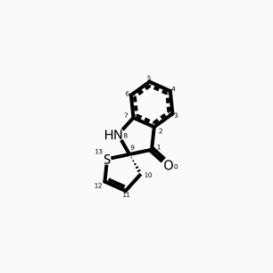 O=C1c2ccccc2N[C@@]12CC=CS2